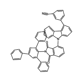 N#Cc1cccc(-c2cccc3c2c2ccccc2n3-c2cccc3c2C(=O)N(c2c(-c4ccccc4)cc(-c4ccccc4)cc2-c2ccccc2)C3=O)c1